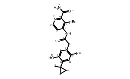 CC(C)(C)c1c(NC(=O)Cc2cc(O)c(C3(C)CC3)cc2F)ccnc1C(N)=O